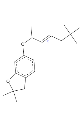 CC(/C=C/CC(C)(C)C)Oc1ccc2c(c1)OC(C)(C)C2